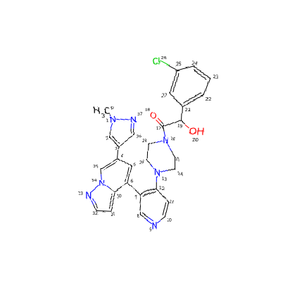 Cn1cc(-c2cc(-c3cnccc3N3CCN(C(=O)C(O)c4cccc(Cl)c4)CC3)c3ccnn3c2)cn1